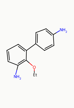 CCOc1c(N)cccc1-c1ccc(N)cc1